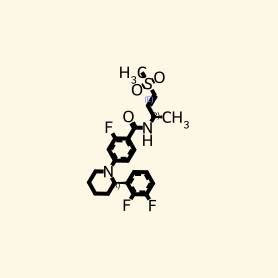 C[C@H](/C=C/S(C)(=O)=O)NC(=O)c1ccc(N2CCCC[C@@H]2c2cccc(F)c2F)cc1F